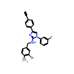 C#Cc1ccc(-c2cn(-c3cccc(F)c3)c(NCc3ccc(C(F)(F)F)c(Br)c3)n2)cc1